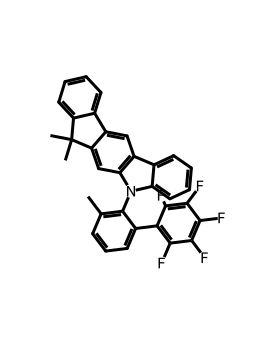 Cc1cccc(-c2c(F)c(F)c(F)c(F)c2F)c1-n1c2ccccc2c2cc3c(cc21)C(C)(C)c1ccccc1-3